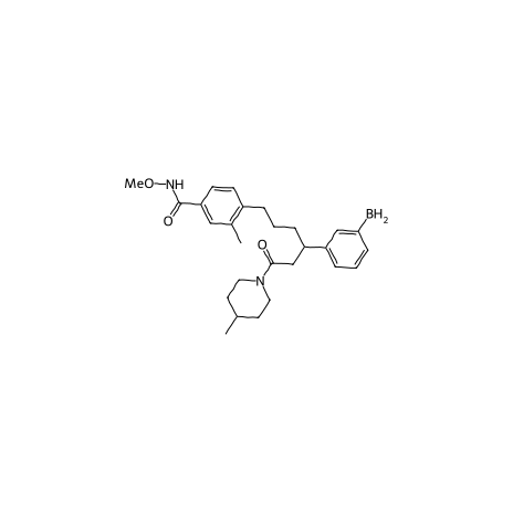 Bc1cccc(C(CCCc2ccc(C(=O)NOC)cc2C)CC(=O)N2CCC(C)CC2)c1